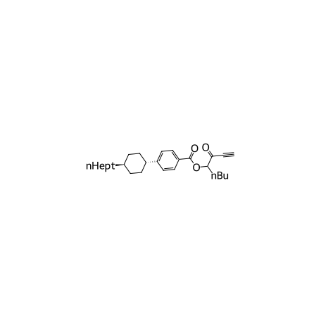 C#CC(=O)C(CCCC)OC(=O)c1ccc([C@H]2CC[C@H](CCCCCCC)CC2)cc1